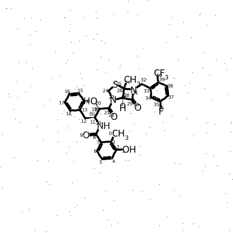 Cc1c(O)cccc1C(=O)N[C@@H](Cc1ccccc1)[C@H](O)C(=O)N1CSC2(C)[C@H]1C(=O)N2Cc1cc(F)ccc1C(F)(F)F